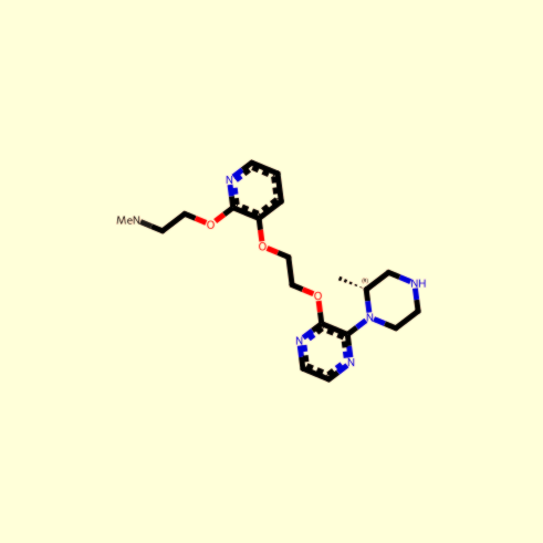 CNCCOc1ncccc1OCCOc1nccnc1N1CCNC[C@H]1C